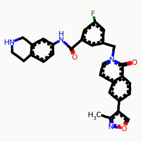 Cc1nocc1-c1ccc2c(=O)n(Cc3cc(F)cc(C(=O)Nc4ccc5c(c4)CNCC5)c3)ccc2c1